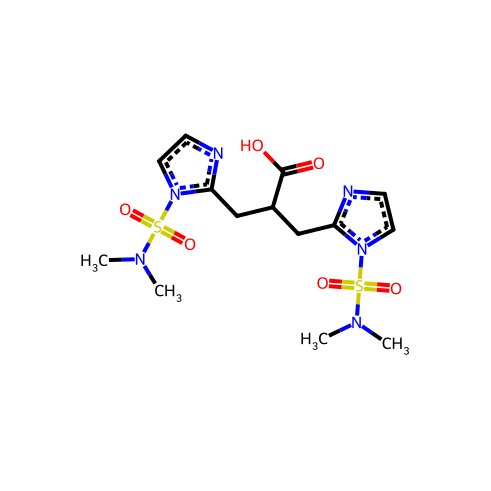 CN(C)S(=O)(=O)n1ccnc1CC(Cc1nccn1S(=O)(=O)N(C)C)C(=O)O